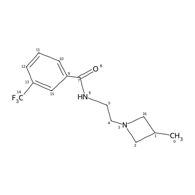 CC1CN(CCNC(=O)c2cccc(C(F)(F)F)c2)C1